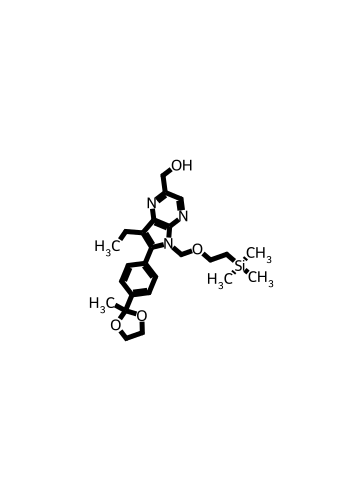 CCc1c(-c2ccc(C3(C)OCCO3)cc2)n(COCC[Si](C)(C)C)c2ncc(CO)nc12